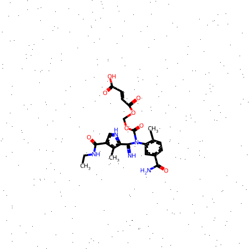 CCNC(=O)c1c[nH]c(C(=N)N(C(=O)OCOC(=O)/C=C/C(=O)O)c2cc(C(N)=O)ccc2C)c1C